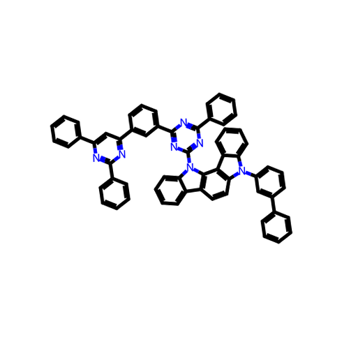 c1ccc(-c2cccc(-n3c4ccccc4c4c3ccc3c5ccccc5n(-c5nc(-c6ccccc6)nc(-c6cccc(-c7cc(-c8ccccc8)nc(-c8ccccc8)n7)c6)n5)c34)c2)cc1